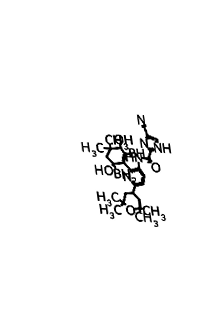 BC1=C(c2nc(C3CC(C)(C)OC(C)(C)C3)ccc2NC(=O)c2nc(C#N)c[nH]2)C(B)(O)CC(C)(C)C1O